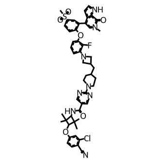 Cn1cc(-c2cc(S(C)(=O)=O)ccc2Oc2cccc(N3CC(CC4CCN(c5ncc(C(=O)NC6C(C)(C)C(Oc7ccc(C#N)c(Cl)c7)C6(C)C)cn5)CC4)C3)c2F)c2cc[nH]c2c1=O